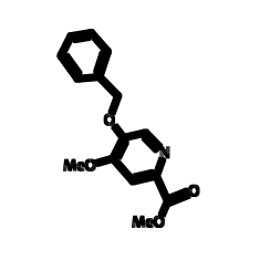 COC(=O)c1cc(OC)c(OCc2ccccc2)cn1